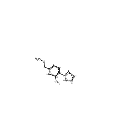 COCc1ccc(-n2cnnn2)c(C)n1